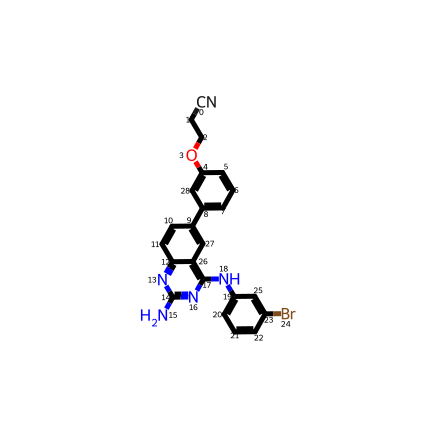 N#CCCOc1cccc(-c2ccc3nc(N)nc(Nc4cccc(Br)c4)c3c2)c1